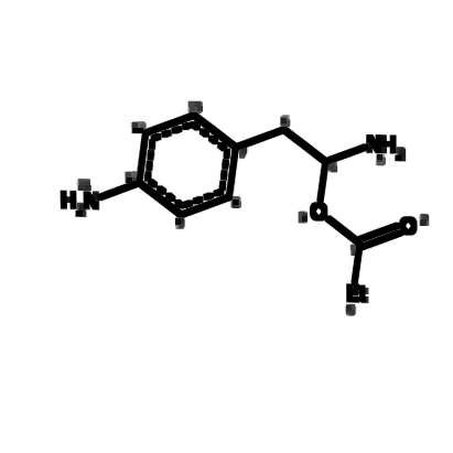 CCC(=O)OC(N)Cc1ccc(N)cc1